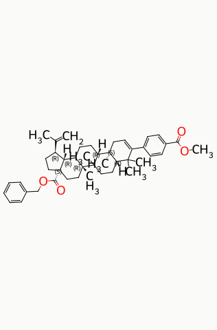 C=C(C)[C@@H]1CC[C@]2(C(=O)OCc3ccccc3)CC[C@]3(C)C(CC[C@H]4C3(C)CC[C@H]3C(C)(C)C(c5ccc(C(=O)OC)cc5)=CC[C@@]34C)[C@@H]12